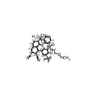 CCOCCNS(=O)(=O)c1ccccc1Sc1c(C(C)(C)C)ccc2cc(C#N)c(C#N)c(-c3cccc(C(F)(F)F)c3)c12